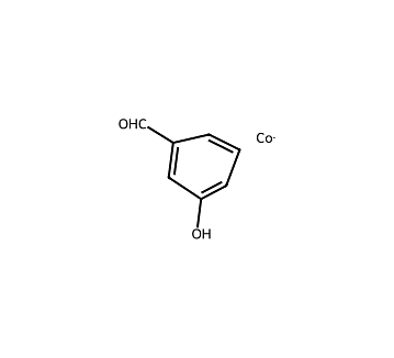 O=Cc1cccc(O)c1.[Co]